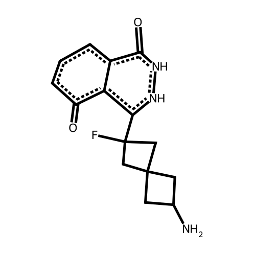 NC1CC2(C1)CC(F)(c1[nH][nH]c(=O)c3cccc(=O)c1-3)C2